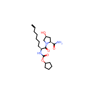 C=CCCCCC[C@H](NC(=O)OC1CCCC1)C(=O)N1C[C@@H](O)C[C@H]1C(N)=O